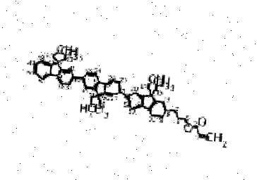 C=CC(=O)OCCCc1ccc2c(c1)C(CC)(CC)c1cc(-c3ccc4c(c3)C(CC)(CC)c3cc(-c5ccc6c(c5)C(CC)(CC)c5ccccc5-6)ccc3-4)ccc1-2